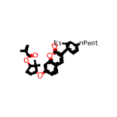 C=C(C)C(=O)OC1CCC(Oc2ccc3cc(-c4ccc(CCCCC)cc4CC)c(=O)oc3c2)C1(C)C